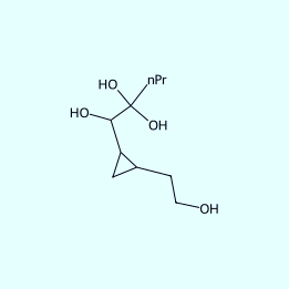 CCCC(O)(O)C(O)C1CC1CCO